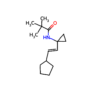 CC(C)(C)C(=O)NC1(C=CC2CCCC2)CC1